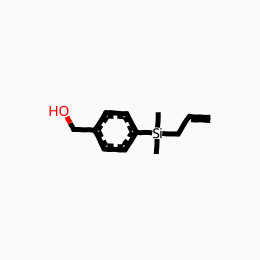 C=CC[Si](C)(C)c1ccc(CO)cc1